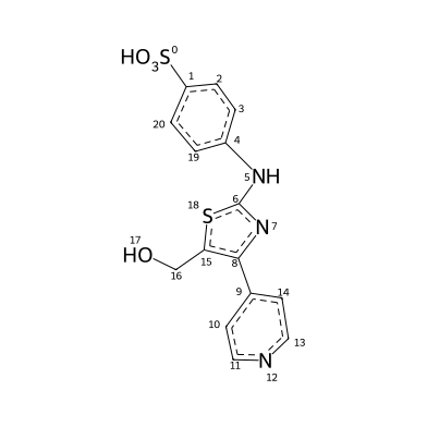 O=S(=O)(O)c1ccc(Nc2nc(-c3ccncc3)c(CO)s2)cc1